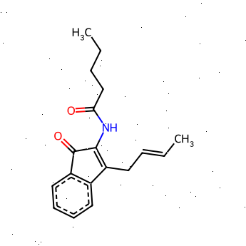 CC=CCC1=C(NC(=O)CCCC)C(=O)c2ccccc21